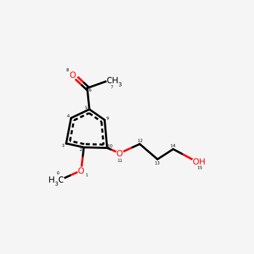 COc1ccc(C(C)=O)cc1OCCCO